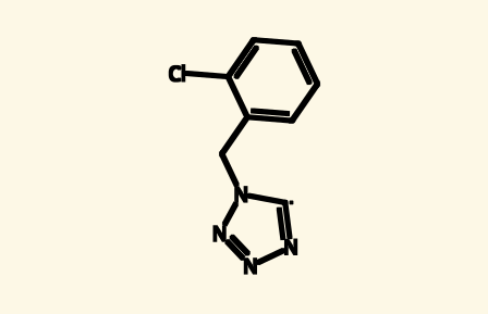 Clc1ccccc1Cn1[c]nnn1